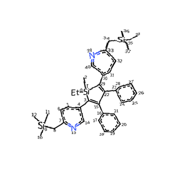 CC[Si]1(C)C(c2ccc(C[Si](C)(C)C)nc2)=C(c2ccccc2)C(c2ccccc2)=C1c1ccc(C[Si](C)(C)C)nc1